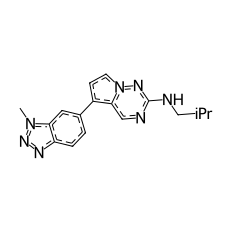 CC(C)CNc1ncc2c(-c3ccc4nnn(C)c4c3)ccn2n1